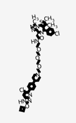 Cc1sc2c(c1C)C(c1ccc(Cl)cc1)=N[C@@H](CC(=O)NCCOCCOCCOCCN1CCC(c3ccc(-c4nc5nc(OC6CCC6)[nH]c5cc4Cl)cc3)CC1)c1nnc(C)n1-2